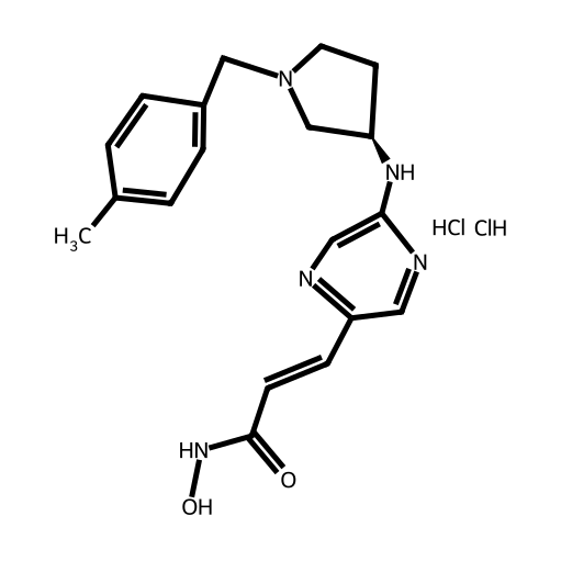 Cc1ccc(CN2CC[C@@H](Nc3cnc(C=CC(=O)NO)cn3)C2)cc1.Cl.Cl